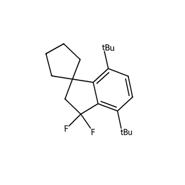 CC(C)(C)c1ccc(C(C)(C)C)c2c1C(F)(F)CC21CCCC1